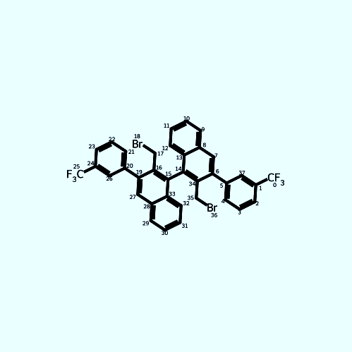 FC(F)(F)c1cccc(-c2cc3ccccc3c(-c3c(CBr)c(-c4cccc(C(F)(F)F)c4)cc4ccccc34)c2CBr)c1